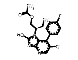 CC[C@H](COC(C)=O)n1c(O)nc2ncc(Cl)c(-c3ccc(F)cc3)c21